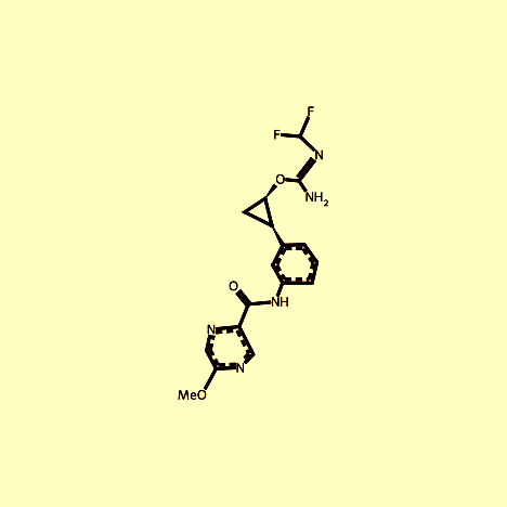 COc1cnc(C(=O)Nc2cccc([C@H]3C[C@H]3O/C(N)=N\C(F)F)c2)cn1